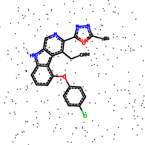 CCCCc1nnc(-c2ncc3[nH]c4cccc(Oc5ccc(Cl)cc5)c4c3c2COC)o1